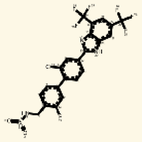 O=[SH](=O)NCc1ccc(-c2ccc(-c3nc4c(C(F)(F)F)cc(C(F)(F)F)cc4[nH]3)cc2Cl)cc1F